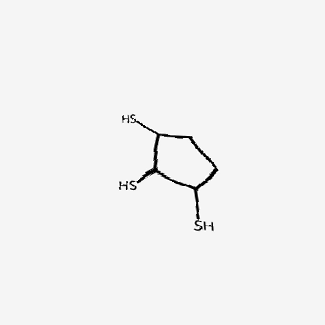 SC1CCC(S)C1S